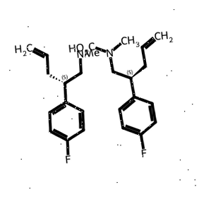 C=CC[C@H](CN(C)C(=O)O)c1ccc(F)cc1.C=CC[C@H](CNC)c1ccc(F)cc1